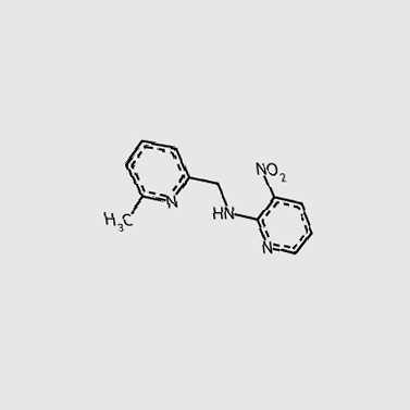 Cc1cccc(CNc2ncccc2[N+](=O)[O-])n1